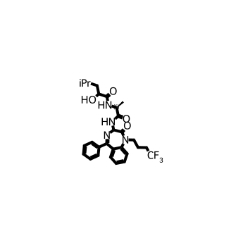 CC(C)CC(O)C(=O)N[C@@H](C)C(=O)NC1N=C(c2ccccc2)c2ccccc2N(CCCC(F)(F)F)C1=O